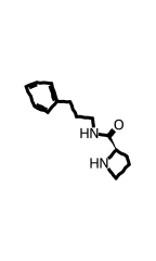 O=C(NCCCc1ccccc1)[C@H]1CCCN1